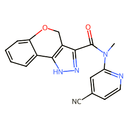 CN(C(=O)c1n[nH]c2c1COc1ccccc1-2)c1cc(C#N)ccn1